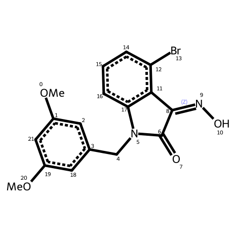 COc1cc(CN2C(=O)/C(=N\O)c3c(Br)cccc32)cc(OC)c1